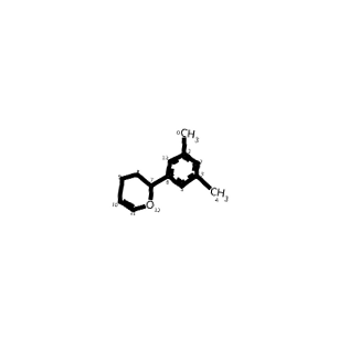 Cc1cc(C)cc(C2CCC=CO2)c1